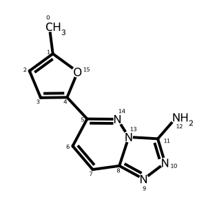 Cc1ccc(-c2ccc3nnc(N)n3n2)o1